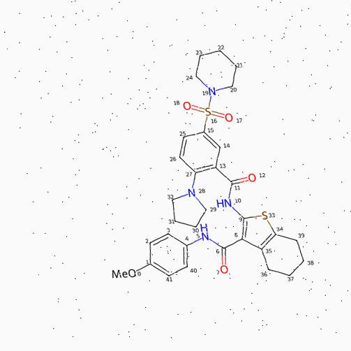 COc1ccc(NC(=O)c2c(NC(=O)c3cc(S(=O)(=O)N4CCCCC4)ccc3N3CCCC3)sc3c2CCCC3)cc1